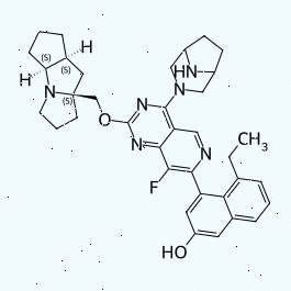 CCc1cccc2cc(O)cc(-c3ncc4c(N5CC6CCC(C5)N6)nc(OC[C@@]56CCCN5[C@H]5CCC[C@H]5C6)nc4c3F)c12